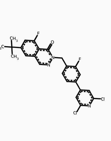 CC(C)(C)c1cc(F)c2c(=O)n(Cc3ccc(-c4cc(Cl)nc(Cl)c4)cc3F)ncc2c1